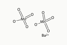 [Ba+2].[O]=[Mn](=[O])(=[O])[O-].[O]=[Mn](=[O])(=[O])[O-]